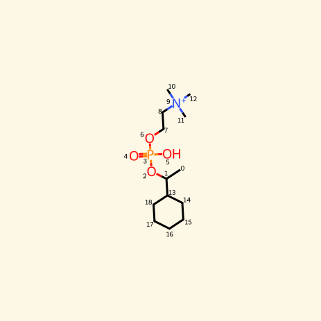 CC(OP(=O)(O)OCC[N+](C)(C)C)C1CCCCC1